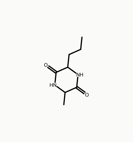 CCCC1NC(=O)C(C)NC1=O